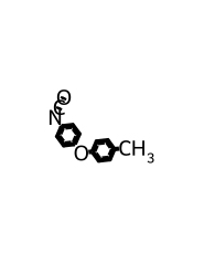 Cc1ccc(Oc2ccc(N=C=O)cc2)cc1